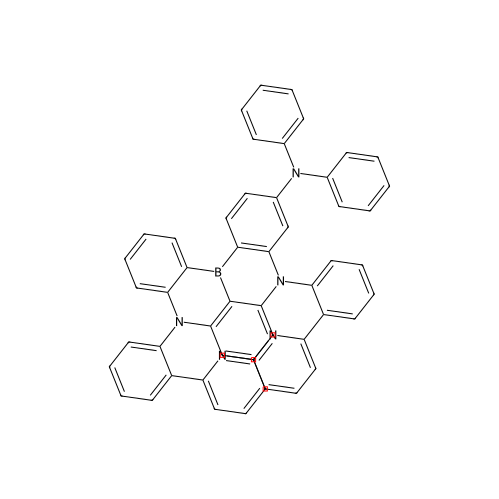 c1ccc(N(c2ccccc2)c2ccc3c(c2)N(c2ccccc2-c2ccccn2)c2cccc4c2B3c2ccccc2N4c2ccccc2-c2ccccn2)cc1